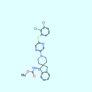 CC(C)(C)OC(=O)N[C@@H]1c2ccccc2CC12CCN(c1cnc(Sc3cccc(Cl)c3Cl)cn1)CC2